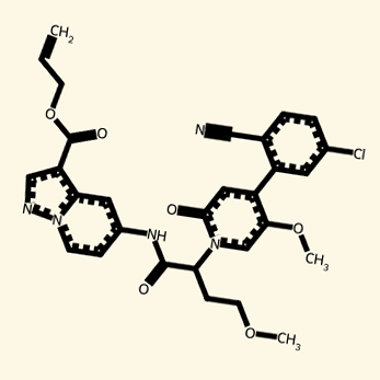 C=CCOC(=O)c1cnn2ccc(NC(=O)C(CCOC)n3cc(OC)c(-c4cc(Cl)ccc4C#N)cc3=O)cc12